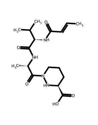 CC=CC(=O)N[C@H](C(=O)N[C@@H](C)C(=O)N1CCC[C@@H](C(=O)O)N1)C(C)C